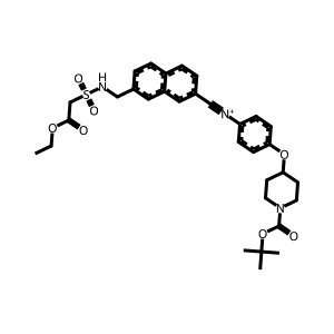 CCOC(=O)CS(=O)(=O)NCc1ccc2ccc(C#[N+]c3ccc(OC4CCN(C(=O)OC(C)(C)C)CC4)cc3)cc2c1